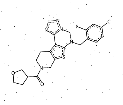 O=C(C1CCOC1)N1CCc2c(sc3c2-c2ncnn2CN3Cc2ccc(Cl)cc2F)C1